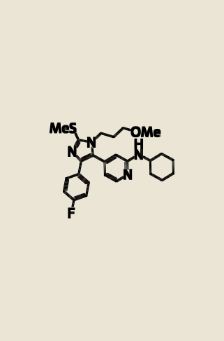 COCCCn1c(SC)nc(-c2ccc(F)cc2)c1-c1ccnc(NC2CCCCC2)c1